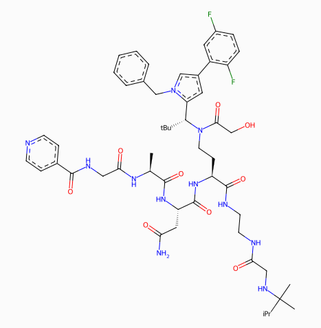 CC(C)C(C)(C)NCC(=O)NCCNC(=O)[C@H](CCN(C(=O)CO)[C@@H](c1cc(-c2cc(F)ccc2F)cn1Cc1ccccc1)C(C)(C)C)NC(=O)[C@H](CC(N)=O)NC(=O)[C@H](C)NC(=O)CNC(=O)c1ccncc1